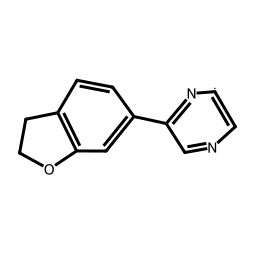 [c]1cncc(-c2ccc3c(c2)OCC3)n1